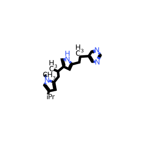 CC(C)c1cc(CC(C)c2c[nH]c(CC(C)c3cncnc3)c2)n(C)c1